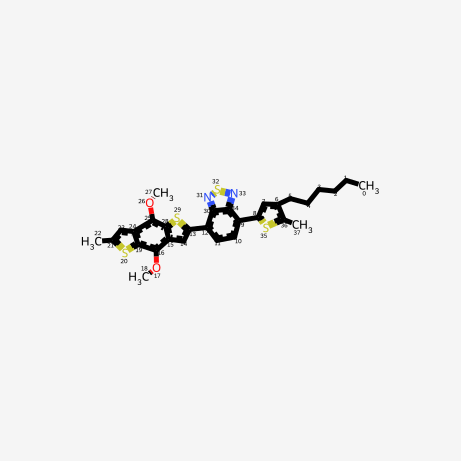 CCCCCCc1cc(-c2ccc(-c3cc4c(OC)c5sc(C)cc5c(OC)c4s3)c3nsnc23)sc1C